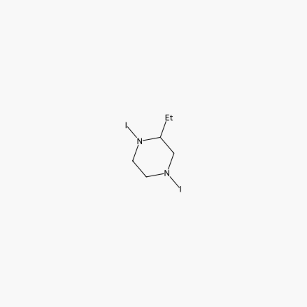 CCC1CN(I)CCN1I